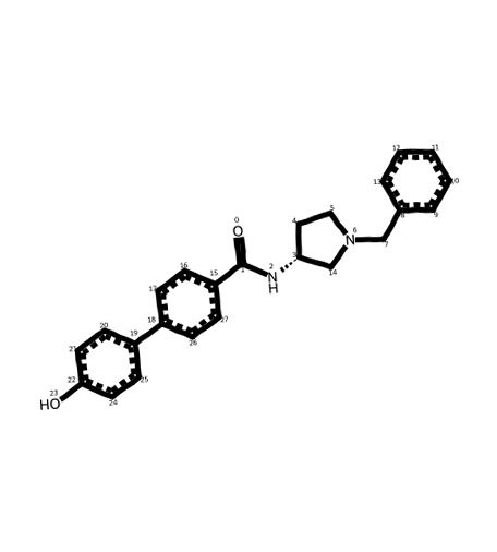 O=C(N[C@@H]1CCN(Cc2ccccc2)C1)c1ccc(-c2ccc(O)cc2)cc1